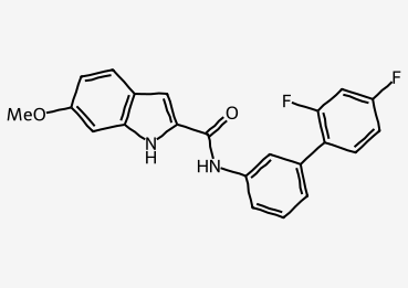 COc1ccc2cc(C(=O)Nc3cccc(-c4ccc(F)cc4F)c3)[nH]c2c1